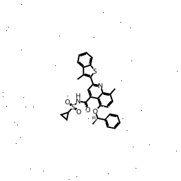 Cc1c(-c2cc(C(=O)NS(=O)(=O)C3CC3)c3c(O[C@H](C)c4ccccc4)ccc(C)c3n2)sc2ccccc12